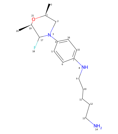 C[C@H]1CN(c2ccc(NCCCCCN)cc2)C(F)[C@@H](C)O1